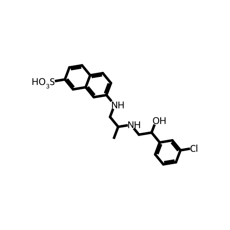 CC(CNc1ccc2ccc(S(=O)(=O)O)cc2c1)NCC(O)c1cccc(Cl)c1